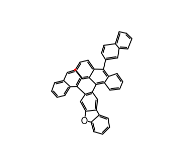 c1ccc2cc(-c3c4ccccc4c(-c4cc5c(cc4-c4cccc6ccccc46)oc4ccccc45)c4ccccc34)ccc2c1